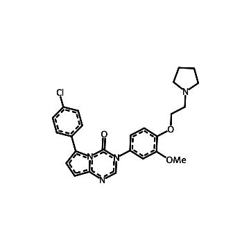 COc1cc(-n2cnc3ccc(-c4ccc(Cl)cc4)n3c2=O)ccc1OCCN1CCCC1